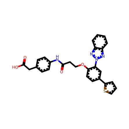 O=C(O)Cc1ccc(NC(=O)CCOc2ccc(-c3cccs3)cc2-n2nc3ccccc3n2)cc1